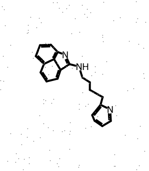 c1ccc(CCCCNC2=Nc3cccc4cccc2c34)nc1